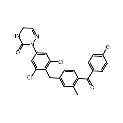 Cc1cc(Cc2c(Cl)cc(N3N=CCNC3=O)cc2Cl)ccc1C(=O)c1ccc(Cl)cc1